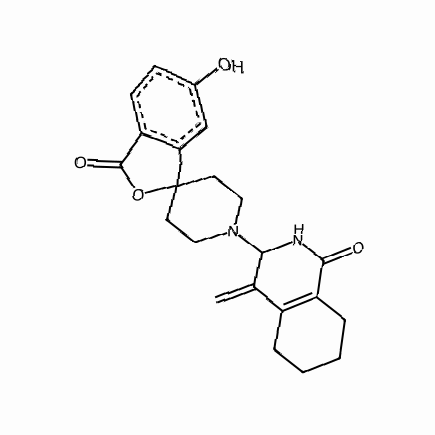 C=C1C2=C(CCCC2)C(=O)NC1N1CCC2(CC1)OC(=O)c1ccc(O)cc12